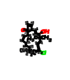 C/C(Cl)=C/CC(C)(C)[C@@H](O)/C=C/[C@@H]1C=CC(=O)[C@@H]1C/C=C\CCCC(=O)O